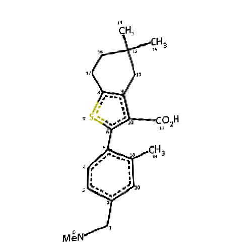 CNCc1ccc(-c2sc3c(c2C(=O)O)CC(C)(C)CC3)c(C)c1